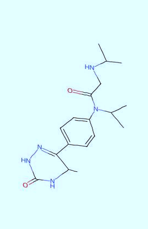 CC(C)NCC(=O)N(c1ccc(C2=NNC(=O)NC2C)cc1)C(C)C